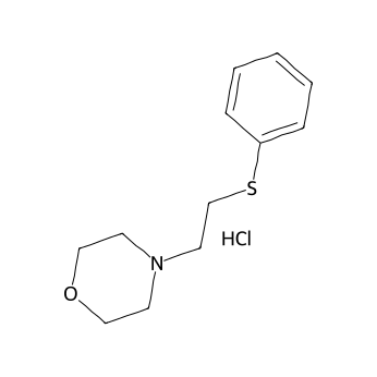 Cl.c1ccc(SCCN2CCOCC2)cc1